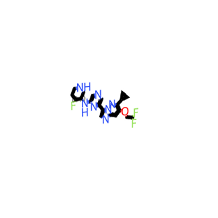 FC(F)COc1cc2ncc(-c3cncc(N[C@H]4CNCC[C@@H]4F)n3)n2nc1C1CC1